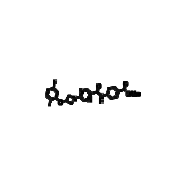 COC(=O)c1ccc(NC(=O)c2cnc(N3CC(Oc4cc(F)ccc4C)C3)cn2)cc1